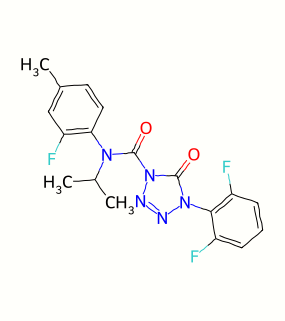 Cc1ccc(N(C(=O)n2nnn(-c3c(F)cccc3F)c2=O)C(C)C)c(F)c1